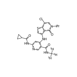 [2H]C([2H])([2H])NC(=O)c1cnc(NC(=O)C2CC2)cc1Nc1csc2c(Cl)cn(C(C)C)c(=O)c12